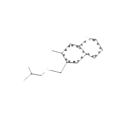 CCC(O)CNCc1cc2cccnc2cc1F